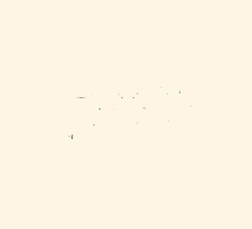 Nc1cccc(-c2ccc(C3OCCCO3)cn2)c1